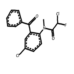 CN(C(=O)C(F)Cl)c1ccc(Cl)cc1C(=O)c1ccccc1